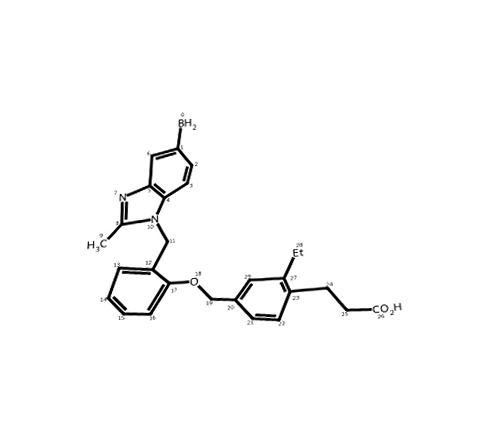 Bc1ccc2c(c1)nc(C)n2Cc1ccccc1OCc1ccc(CCC(=O)O)c(CC)c1